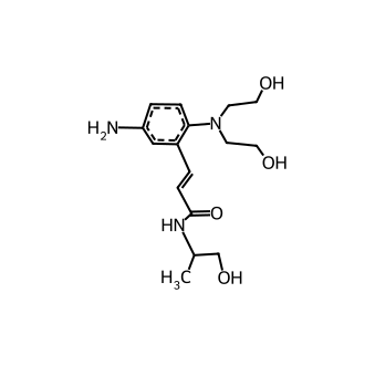 CC(CO)NC(=O)C=Cc1cc(N)ccc1N(CCO)CCO